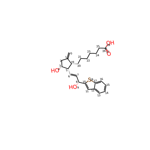 C=C1C[C@@H](O)[C@@H](C=C[C@@H](O)c2cc3ccccc3s2)[C@H]1CCCCCCC(=O)O